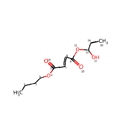 CCCCOC(=O)C=CC(=O)OC(O)CC